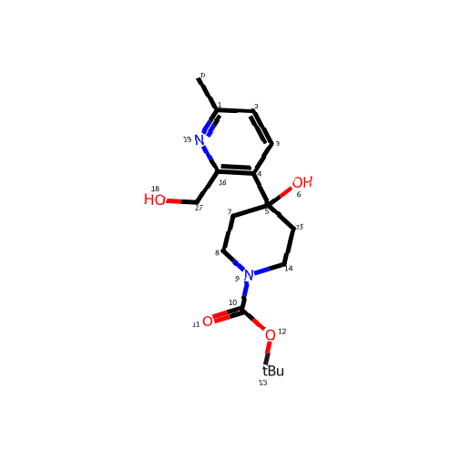 Cc1ccc(C2(O)CCN(C(=O)OC(C)(C)C)CC2)c(CO)n1